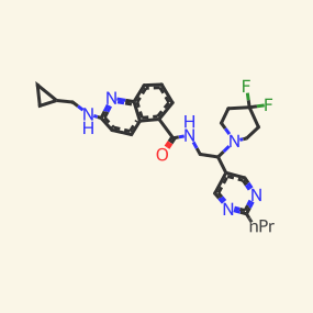 CCCc1ncc(C(CNC(=O)c2cccc3nc(NCC4CC4)ccc23)N2CCC(F)(F)CC2)cn1